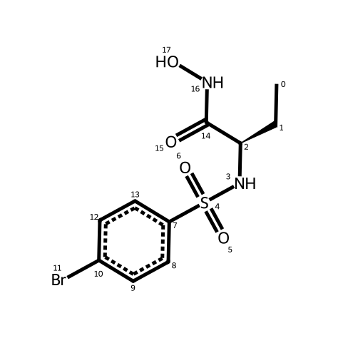 CC[C@@H](NS(=O)(=O)c1ccc(Br)cc1)C(=O)NO